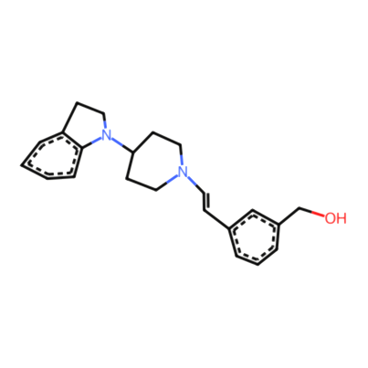 OCc1cccc(C=CN2CCC(N3CCc4ccccc43)CC2)c1